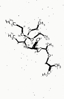 C=C(C)COC(C)OC(=O)NC(CC)[Si](OCC)(OCC)OCC